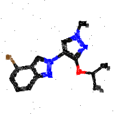 CC(C)Oc1nn(C)cc1-n1cc2c(Br)cccc2n1